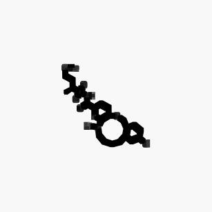 CCN1CCCCc2cc(Cl)ccc2COc2ccc(C(=O)NS(=O)(=O)[C@@H](C)CCOC)nc21